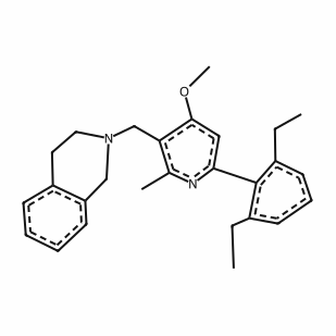 CCc1cccc(CC)c1-c1cc(OC)c(CN2CCc3ccccc3C2)c(C)n1